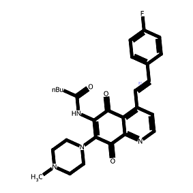 CCCCC(=O)NC1=C(N2CCN(C)CC2)C(=O)c2nccc(/C=C/c3ccc(F)cc3)c2C1=O